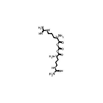 N=C(N)NCCC[C@H](N)C(=O)OC(=O)OC(=O)[C@@H](N)CCCNC(=N)N